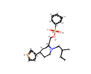 CCC(C)CN1CCC(c2ccsc2)CC1COS(=O)(=O)c1ccccc1